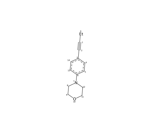 CCC#Cc1ccc(N2CCOCC2)cc1